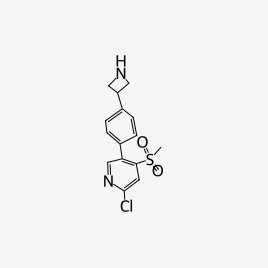 CS(=O)(=O)c1cc(Cl)ncc1-c1ccc(C2CNC2)cc1